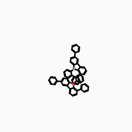 c1ccc(-c2ccc3c(c2)c2cccc(-c4ccccc4)c2n3-c2ccccc2-c2ccccc2-n2c3ccc(-c4ccccc4)cc3c3cccc(-c4ccccc4)c32)cc1